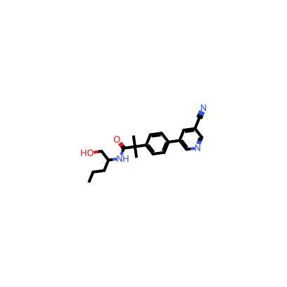 CCCC(CO)NC(=O)C(C)(C)c1ccc(-c2cncc(C#N)c2)cc1